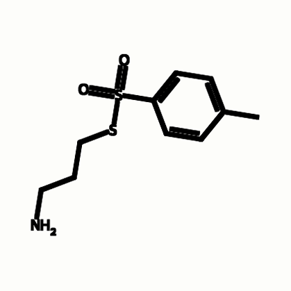 Cc1ccc(S(=O)(=O)SCCCN)cc1